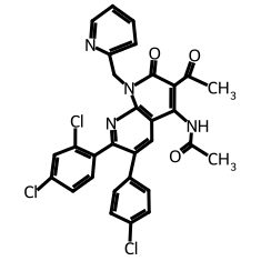 CC(=O)Nc1c(C(C)=O)c(=O)n(Cc2ccccn2)c2nc(-c3ccc(Cl)cc3Cl)c(-c3ccc(Cl)cc3)cc12